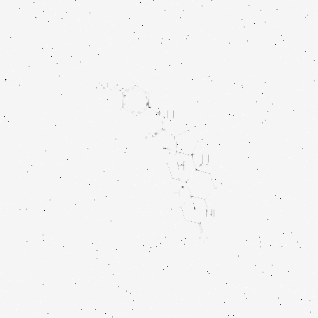 C[C@]12CCC(=O)NC1CC[C@@H]1[C@H]2CC[C@]2(C)C(C(=O)Nc3ccc(C#N)cc3)CC[C@@H]12